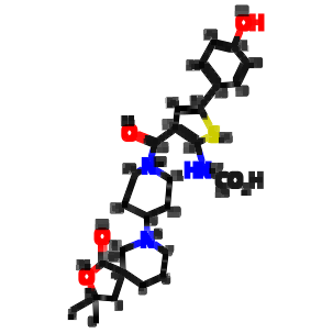 CC1(C)CC2(CCCN(C3CCN(C(=O)c4cc(-c5ccc(O)cc5)sc4NC(=O)O)CC3)C2)C(=O)O1